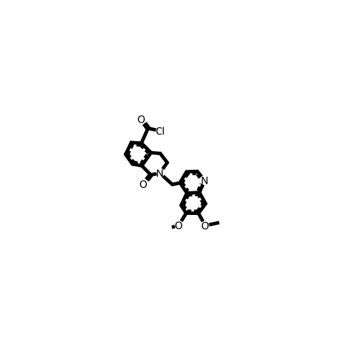 COc1cc2nccc(CN3CCc4c(C(=O)Cl)cccc4C3=O)c2cc1OC